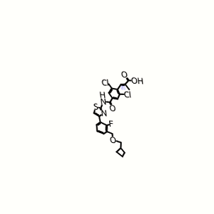 C/C(=C\c1c(Cl)cc(C(=O)Nc2nc(-c3cccc(COCC4CCC4)c3F)cs2)cc1Cl)C(=O)O